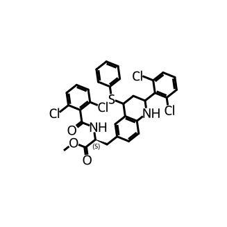 COC(=O)[C@H](Cc1ccc2c(c1)C(Sc1ccccc1)CC(c1c(Cl)cccc1Cl)N2)NC(=O)c1c(Cl)cccc1Cl